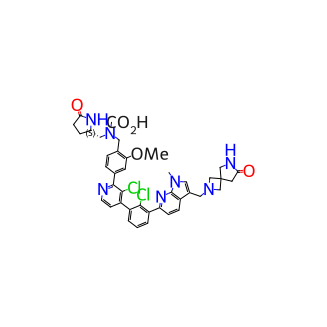 COc1cc(-c2nccc(-c3cccc(-c4ccc5c(CN6CC7(CNC(=O)C7)C6)cn(C)c5n4)c3Cl)c2Cl)ccc1CN(C[C@@H]1CCC(=O)N1)C(=O)O